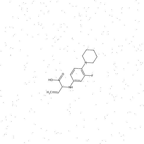 C=CC(Nc1ccc(N2CCCCC2)c(F)c1)C(=O)O